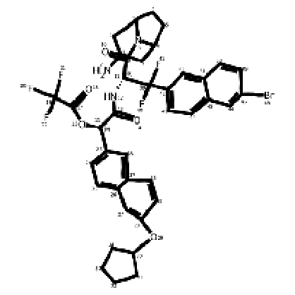 NC1CC2CCC(C1)N2C(=O)[C@@H](NC(=O)[C@H](OC(=O)C(F)(F)F)c1ccc2cc(OC3CCCC3)ccc2c1)C(F)(F)c1ccc2cc(Br)ccc2c1